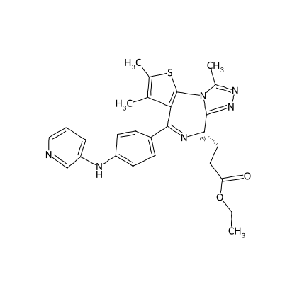 CCOC(=O)CC[C@@H]1N=C(c2ccc(Nc3cccnc3)cc2)c2c(sc(C)c2C)-n2c(C)nnc21